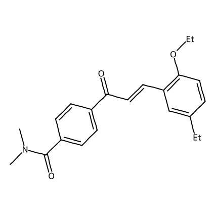 CCOc1ccc(CC)cc1C=CC(=O)c1ccc(C(=O)N(C)C)cc1